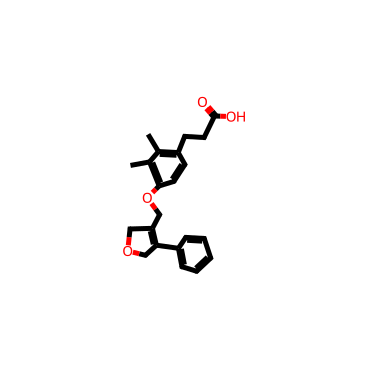 Cc1c(CCC(=O)O)ccc(OCC2=C(c3ccccc3)COC2)c1C